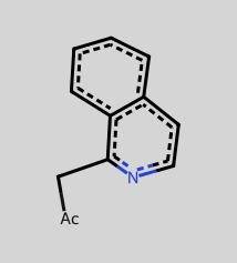 CC(=O)Cc1nccc2ccccc12